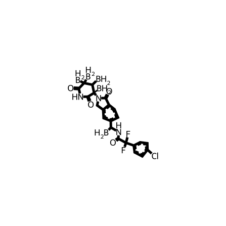 BC(NC(=O)C(F)(F)c1ccc(Cl)cc1)c1ccc2c(c1)CN([C@]1(B)C(=O)NC(=O)C(B)(B)C1B)C2=O